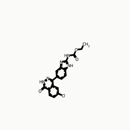 CCOC(=O)Nc1nc2cc(-c3n[nH]c(=O)c4ccc(Cl)cc34)ccc2[nH]1